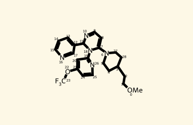 COCCC1CCN(C2=CC=NC(c3cccnc3)N2c2cc(OC(F)(F)F)ccn2)CC1